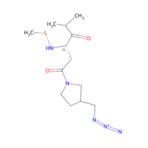 CSN[C@@H](CC(=O)N1CCC(CN=[N+]=[N-])C1)C(=O)C(C)C